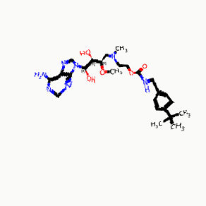 CO[C@H](CN(C)CCOC(=O)NCc1ccc(C(C)(C)C)cc1)[C@@H](O)[C@@H](O)n1cnc2c(N)ncnc21